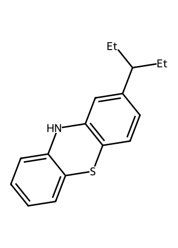 CCC(CC)c1ccc2c(c1)Nc1ccccc1S2